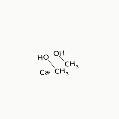 CO.CO.[Ca]